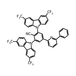 N#Cc1c(-n2c3ccc(C(F)(F)F)cc3c3cc(C(F)(F)F)ccc32)cc(-c2cccc(-c3ccccc3)n2)cc1-n1c2ccc(C(F)(F)F)cc2c2cc(C(F)(F)F)ccc21